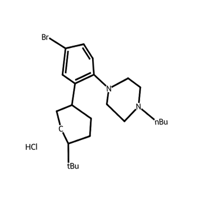 CCCCN1CCN(c2ccc(Br)cc2C2CCC(C(C)(C)C)CC2)CC1.Cl